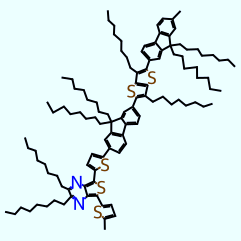 CCCCCCCCc1nc2c(-c3ccc(C)s3)sc(-c3ccc(-c4ccc5c(c4)C(CCCCCCCC)(CCCCCCCC)c4cc(-c6sc7c(CCCCCCCC)c(-c8ccc9c(c8)C(CCCCCCCC)(CCCCCCCC)c8cc(C)ccc8-9)sc7c6CCCCCCCC)ccc4-5)s3)c2nc1CCCCCCCC